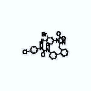 O=C(Nc1ccc(Cl)cc1)Nc1cccc(-c2ccccc2Cc2noc(=O)n2-c2ccc(F)c(Br)c2)c1